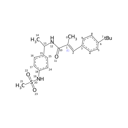 C/C(=C\c1ccc(C(C)(C)C)cc1)C(=O)NC(C)c1ccc(NS(C)(=O)=O)cc1